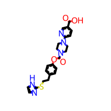 O=C(O)c1ccc(N2CCN(C(=O)Oc3ccc(CCSc4ncc[nH]4)cc3)CC2)nc1